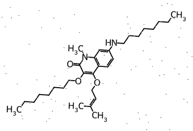 CCCCCCCCNc1ccc2c(OCC=C(C)C)c(OCCCCCCCC)c(=O)n(C)c2c1